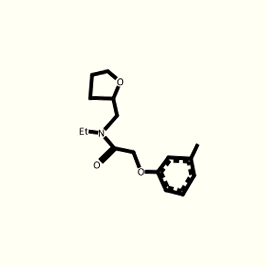 CCN(CC1CCCO1)C(=O)COc1cccc(C)c1